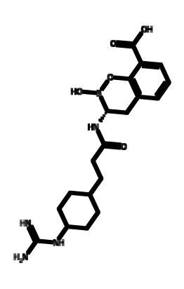 N=C(N)NC1CCC(CCC(=O)N[C@H]2Cc3cccc(C(=O)O)c3OB2O)CC1